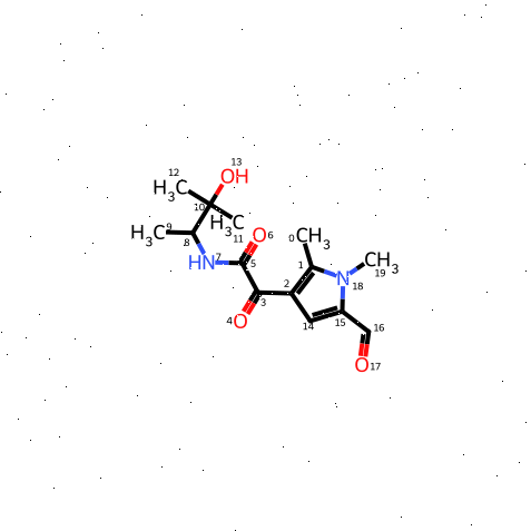 Cc1c(C(=O)C(=O)NC(C)C(C)(C)O)cc(C=O)n1C